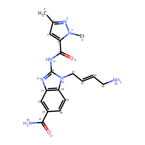 CCn1nc(C)cc1C(=O)Nc1nc2cc(C(N)=O)ccc2n1CC=CCN